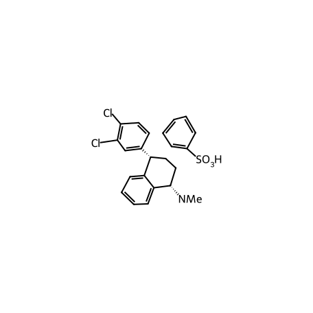 CN[C@H]1CC[C@@H](c2ccc(Cl)c(Cl)c2)c2ccccc21.O=S(=O)(O)c1ccccc1